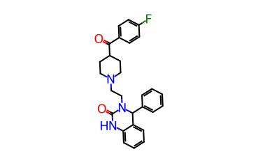 O=C(c1ccc(F)cc1)C1CCN(CCN2C(=O)Nc3ccccc3C2c2ccccc2)CC1